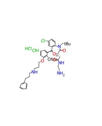 COc1c(OCCCNCCCc2ccccc2)cccc1[C@@H]1O[C@@H](CC(=O)NCCN)C(=O)N(CC(C)(C)C)c2ccc(Cl)cc21.Cl.Cl